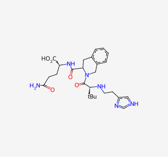 CC(C)(C)[C@H](NCCc1c[nH]cn1)C(=O)N1Cc2ccccc2CC1C(=O)N[C@@H](CCC(N)=O)C(=O)O